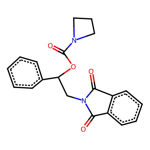 O=C(OC(CN1C(=O)c2ccccc2C1=O)c1ccccc1)N1CCC1